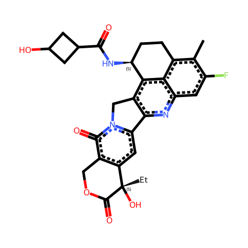 CC[C@@]1(O)C(=O)OCc2c1cc1n(c2=O)Cc2c-1nc1cc(F)c(C)c3c1c2[C@@H](NC(=O)C1CC(O)C1)CC3